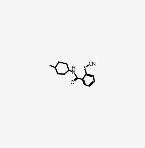 CC1CCC(NC(=O)c2ccccc2SC#N)CC1